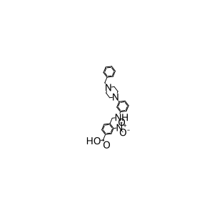 O=C(O)c1ccc(CNc2cccc(N3CCN(Cc4ccccc4)CC3)c2)c([N+](=O)[O-])c1